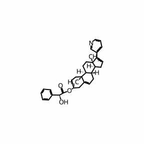 C[C@]12CC[C@H](OC(=O)[C@@H](O)c3ccccc3)CC1=CC[C@@H]1[C@@H]2CC[C@]2(C)C(c3cccnc3)=CC[C@@H]12